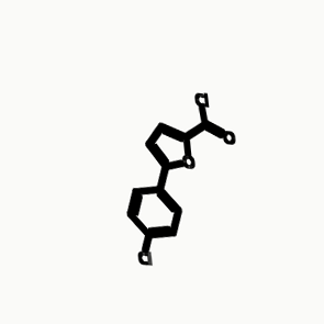 O=C(Cl)c1ccc(-c2ccc(Cl)cc2)o1